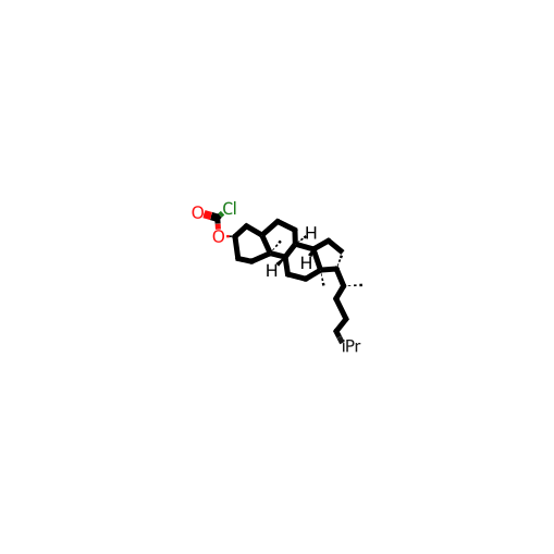 CC(C)CCC[C@@H](C)[C@H]1CC[C@H]2[C@@H]3CCC4C[C@@H](OC(=O)Cl)CC[C@]4(C)[C@H]3CC[C@]12C